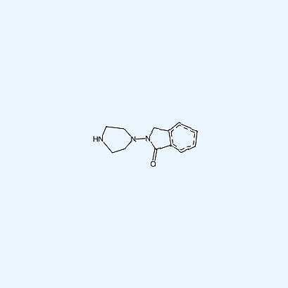 O=C1c2ccccc2CN1N1CCNCC1